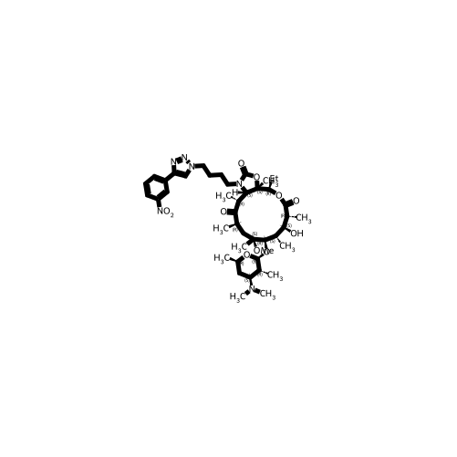 CC[C@H]1OC(=O)[C@H](C)[C@@H](O)[C@H](C)[C@@H](O[C@@H]2O[C@H](C)C[C@H](N(C)C)[C@H]2C)[C@@](C)(OC)C[C@@H](C)C(=O)[C@H](C)[C@@H]2N(CCCCn3cc(-c4cccc([N+](=O)[O-])c4)nn3)C(=O)O[C@@]21C